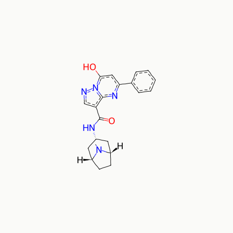 CN1[C@@H]2CC[C@H]1C[C@@H](NC(=O)c1cnn3c(O)cc(-c4ccccc4)nc13)C2